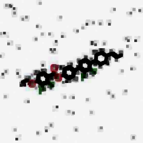 C/C=C/C1CCC(c2ccc(-c3ccc(OC(=O)c4ccc(OCC)c(F)c4F)cc3)c(F)c2F)CC1